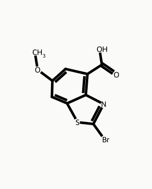 COc1cc(C(=O)O)c2nc(Br)sc2c1